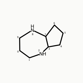 C1CNC2CCCC2NC1